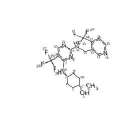 C[C@]1(O)CC[C@@H](Nc2nc(NCc3cnccc3C(F)(F)F)ncc2C(F)(F)F)CC1